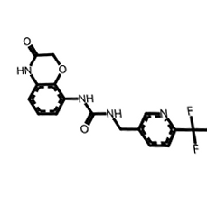 O=C1COc2c(cccc2NC(=O)NCc2ccc(C(F)(F)F)nc2)N1